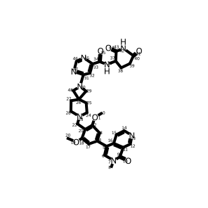 COc1cc(-c2cn(C)c(=O)c3cnccc23)cc(OC)c1CN1CCC2(CC1)CN(c1cc(C(=O)NC3CCC(=O)NC3=O)ncn1)C2